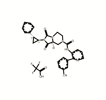 N#Cc1cccc(-c2ncccc2NC(=O)N2CCN3C(=O)N([C@H]4C[C@@H]4c4ccccc4)C(=O)[C@@H]3C2)c1.O=C(O)C(F)(F)F